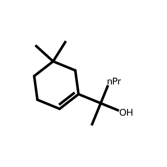 CCCC(C)(O)C1=CCCC(C)(C)C1